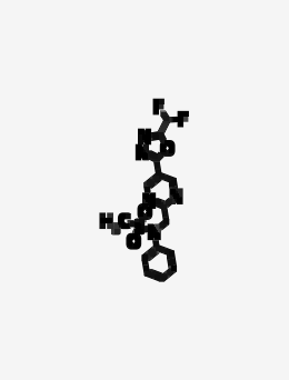 CS(=O)(=O)N(Cc1ncc(-c2nnc(C(F)F)o2)cn1)c1ccccc1